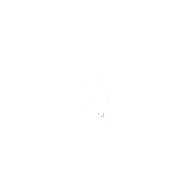 Nc1cc(Cl)cc(C(O)C(=O)c2ccccc2)c1Cl